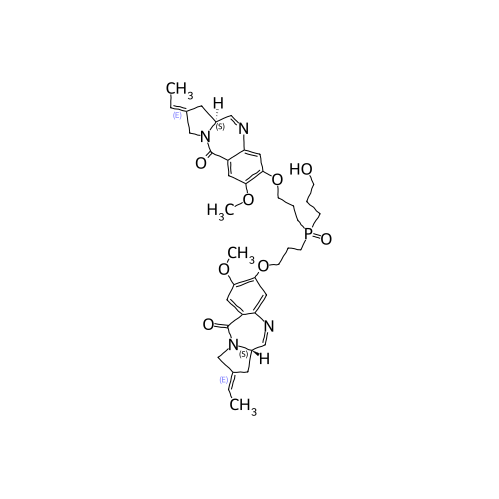 C/C=C1\C[C@H]2C=Nc3cc(OCCCP(=O)(CCCO)CCCOc4cc5c(cc4OC)C(=O)N4C/C(=C/C)C[C@H]4C=N5)c(OC)cc3C(=O)N2C1